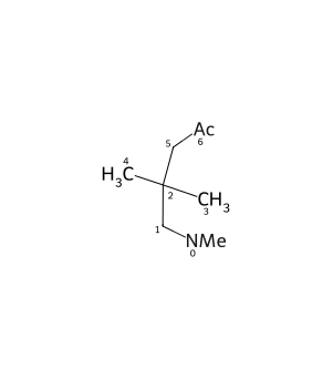 CNCC(C)(C)CC(C)=O